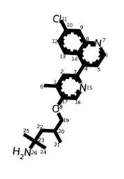 Cc1cc(-c2ccnc3cc(Cl)ccc23)ncc1OCC(C)CC(C)(C)N